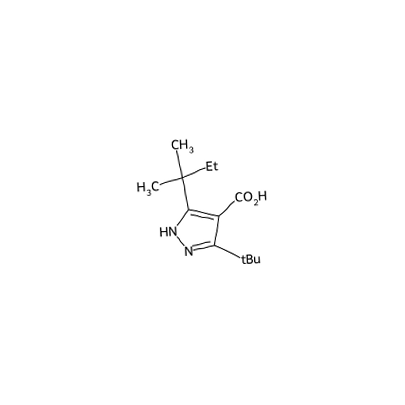 CCC(C)(C)c1[nH]nc(C(C)(C)C)c1C(=O)O